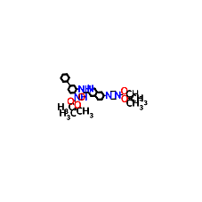 CC(C)(C)OC(=O)Nc1ccc(-c2ccccc2)cc1NC(=O)c1cc2ccc(N3CCN(C(=O)OC(C)(C)C)CC3)cc2cn1